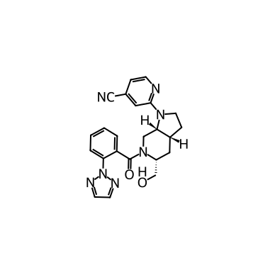 N#Cc1ccnc(N2CC[C@@H]3C[C@H](CO)N(C(=O)c4ccccc4-n4nccn4)C[C@@H]32)c1